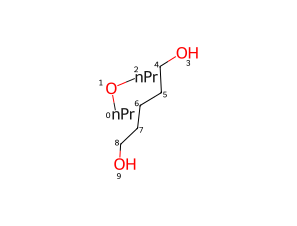 CCCOCCC.OCCCCCO